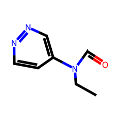 CCN([C]=O)c1ccnnc1